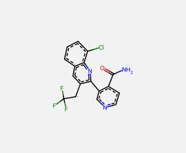 NC(=O)c1ccncc1-c1nc2c(Cl)cccc2cc1[CH]C(F)(F)F